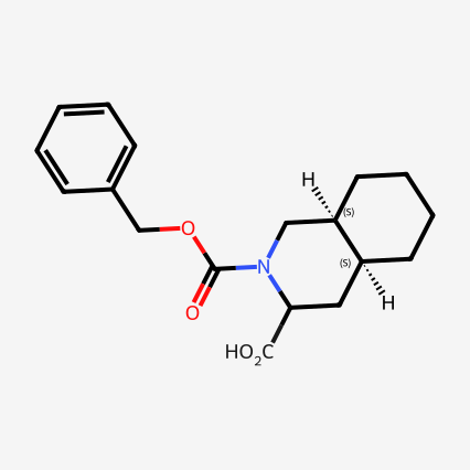 O=C(O)C1C[C@@H]2CCCC[C@@H]2CN1C(=O)OCc1ccccc1